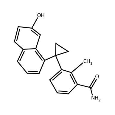 Cc1c(C(N)=O)cccc1C1(c2cccc3ccc(O)cc23)CC1